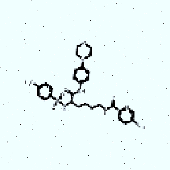 Cc1ccc(S(=O)(=O)NC(CCCCNC(=O)c2ccc(C(F)(F)F)cn2)C(=O)Nc2ccc(N3CCOCC3)cc2)cc1